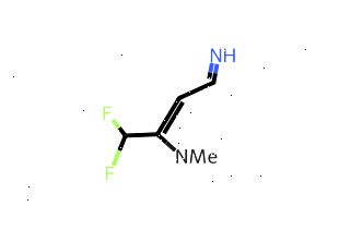 CN/C(=C\C=N)C(F)F